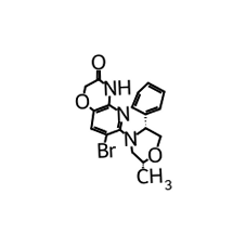 C[C@@H]1CN(c2nc3c(cc2Br)OCC(=O)N3)[C@H](c2ccccc2)CO1